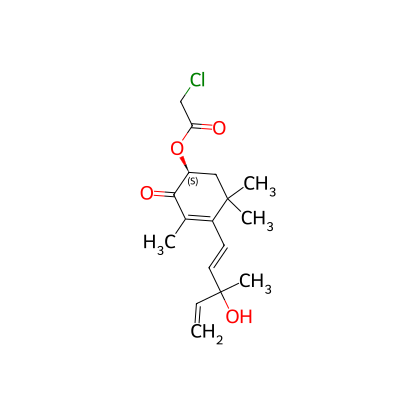 C=CC(C)(O)C=CC1=C(C)C(=O)[C@@H](OC(=O)CCl)CC1(C)C